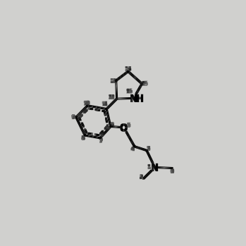 CN(C)CCOc1ccccc1C1CCCN1